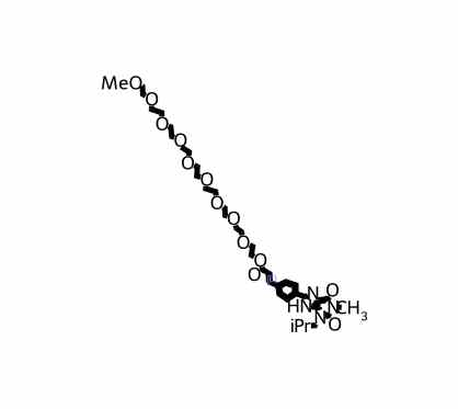 COCCOCCOCCOCCOCCOCCOCCOCCOCCOC(=O)/C=C/c1ccc(-c2nc3c(=O)n(C)c(=O)n(CC(C)C)c3[nH]2)cc1